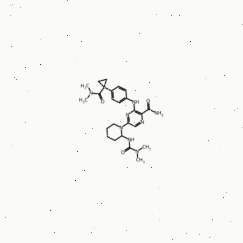 CN(C)C(=O)NC1CCCCN1c1cnc(C(N)=O)c(Nc2ccc(C3(C(=O)N(C)C)CC3)cc2)n1